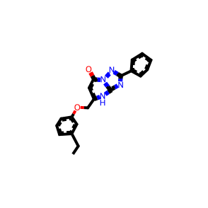 CCc1cccc(OCc2cc(=O)n3nc(-c4ccccc4)nc3[nH]2)c1